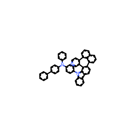 c1ccc(-c2ccc(N(c3ccccc3)c3ccc(-n4c5ccccc5c5ccc6c(c54)-c4cnccc4-c4cccc5cccc-6c45)cc3)cc2)cc1